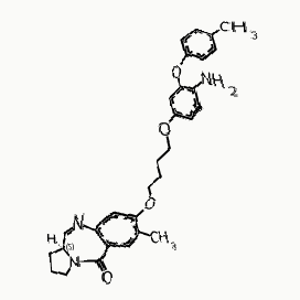 Cc1ccc(Oc2cc(OCCCCOc3cc4c(cc3C)C(=O)N3CCC[C@H]3C=N4)ccc2N)cc1